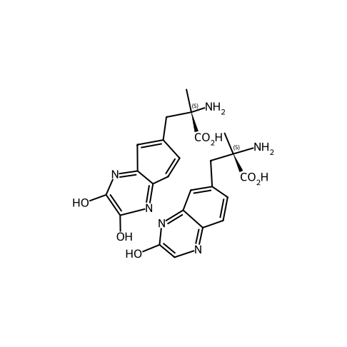 C[C@](N)(Cc1ccc2nc(O)c(O)nc2c1)C(=O)O.C[C@](N)(Cc1ccc2ncc(O)nc2c1)C(=O)O